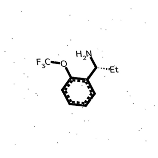 CC[C@@H](N)c1ccccc1OC(F)(F)F